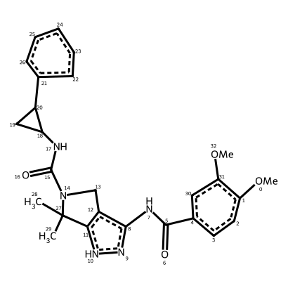 COc1ccc(C(=O)Nc2n[nH]c3c2CN(C(=O)NC2CC2c2ccccc2)C3(C)C)cc1OC